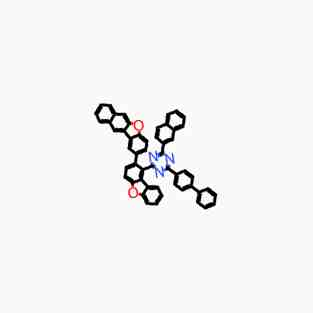 c1ccc(-c2ccc(-c3nc(-c4ccc5ccccc5c4)nc(-c4c(-c5ccc6oc7cc8ccccc8cc7c6c5)ccc5oc6ccccc6c45)n3)cc2)cc1